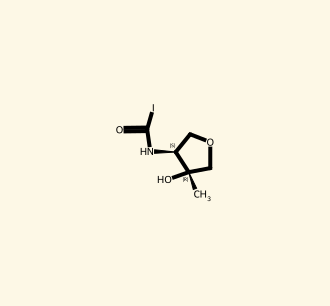 C[C@]1(O)COC[C@@H]1NC(=O)I